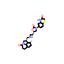 O=C1CSc2ccc(N3C[C@@H](CCNC[C@@H]4CN5C(=O)CCc6ccc(F)c4c65)OC3=O)cc2N1